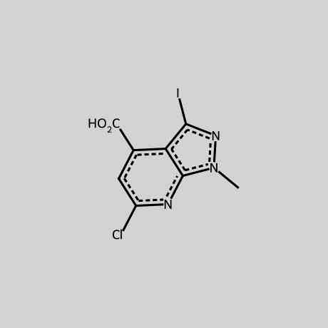 Cn1nc(I)c2c(C(=O)O)cc(Cl)nc21